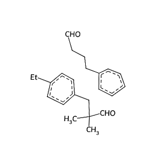 CCc1ccc(CC(C)(C)C=O)cc1.O=CCCCc1ccccc1